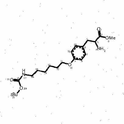 COC(=O)C(N)Cc1ccc(OCCCCCCNC(=O)OC(C)(C)C)cc1